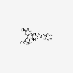 Clc1ccc(-c2ncc(NCCN3CCCCC3)nc2-c2ccc(Cl)cc2)cc1